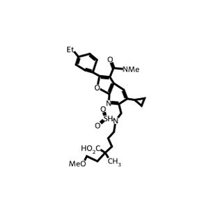 CCc1ccc(-c2oc3nc(CN(CCCC(C)(CCOC)C(=O)O)[SH](=O)=O)c(C4CC4)cc3c2C(=O)NC)cc1